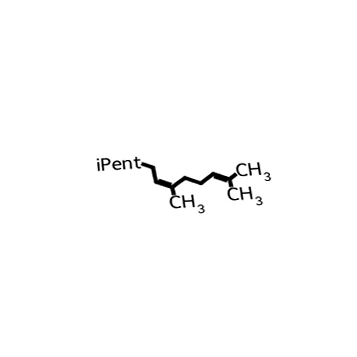 [CH2]CCC(C)CC=C(C)CCC=C(C)C